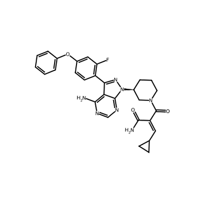 NC(=O)/C(=C\C1CC1)C(=O)N1CCC[C@H](n2nc(-c3ccc(Oc4ccccc4)cc3F)c3c(N)ncnc32)C1